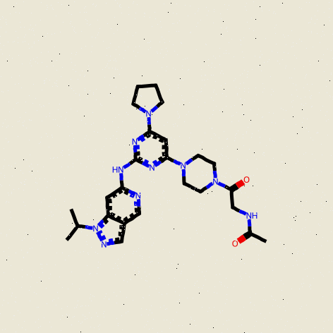 CC(=O)NCC(=O)N1CCN(c2cc(N3CCCC3)nc(Nc3cc4c(cn3)cnn4C(C)C)n2)CC1